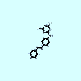 Clc1nc(Cl)nc(Nc2ccc(C=Cc3ccccc3)cc2)n1